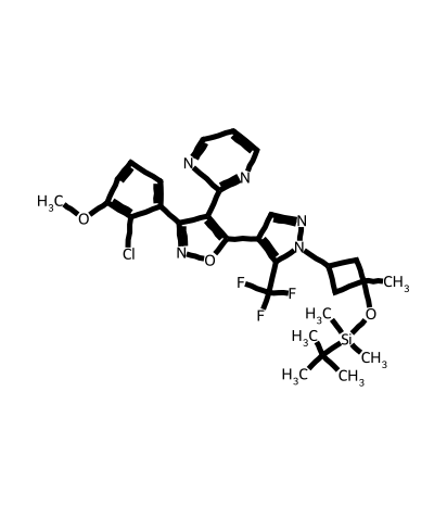 COc1cccc(-c2noc(-c3cnn(C4CC(C)(O[Si](C)(C)C(C)(C)C)C4)c3C(F)(F)F)c2-c2ncccn2)c1Cl